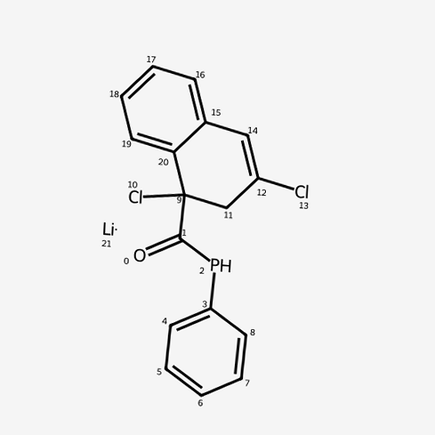 O=C(Pc1ccccc1)C1(Cl)CC(Cl)=Cc2ccccc21.[Li]